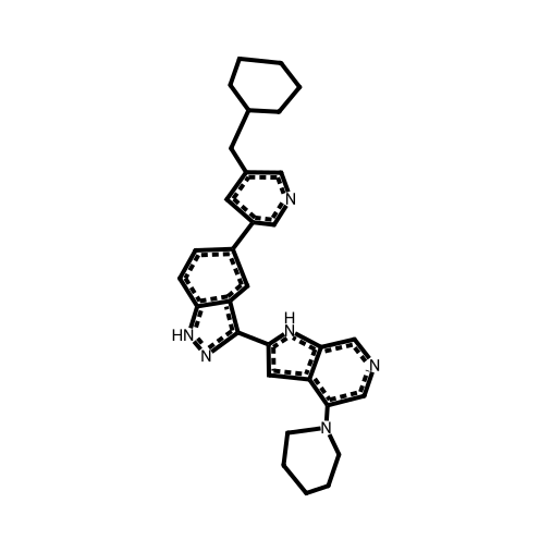 c1ncc(-c2ccc3[nH]nc(-c4cc5c(N6CCCCC6)cncc5[nH]4)c3c2)cc1CC1CCCCC1